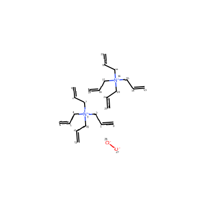 C=CC[N+](CC=C)(CC=C)CC=C.C=CC[N+](CC=C)(CC=C)CC=C.[O-][O-]